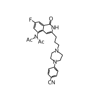 CC(=O)N(C(C)=O)c1cc(F)cc2c(=O)[nH]c(CCCN3CCN(c4ccc(C#N)cc4)CC3)cc12